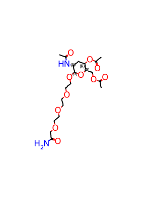 CC(=O)N[C@@H]1C[C@@H](OC(C)=O)[C@@H](COC(C)=O)O[C@H]1OCCOCCOCCOCC(N)=O